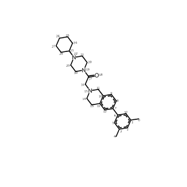 Cc1cc(C)cc(-c2ccc3c(c2)CCN(CC(=O)N2CCN(C4CCCCC4)CC2)C3)c1